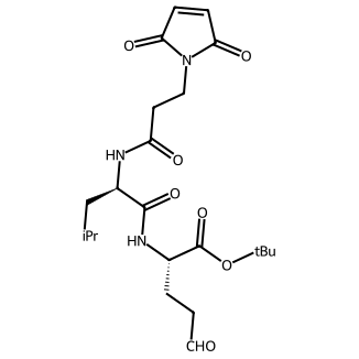 CC(C)C[C@@H](NC(=O)CCN1C(=O)C=CC1=O)C(=O)N[C@@H](CCC=O)C(=O)OC(C)(C)C